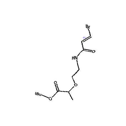 CC(OCCNC(=O)/C=C/Br)C(=O)OC(C)(C)C